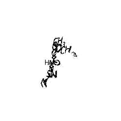 COc1ccc(C)cc1OC1CC(C(=O)NC2CN(c3ncc(C#N)s3)C2)C1